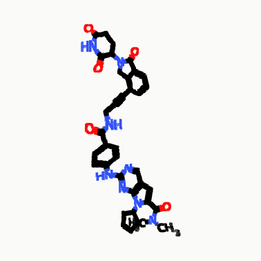 CN(C)C(=O)c1cc2cnc(Nc3ccc(C(=O)NCC#Cc4cccc5c4CN(C4CCC(=O)NC4=O)C5=O)cc3)nc2n1C1CCCC1